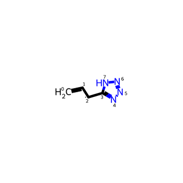 C=C[CH]c1nnn[nH]1